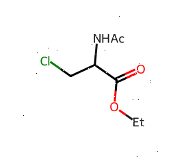 CCOC(=O)C(CCl)NC(C)=O